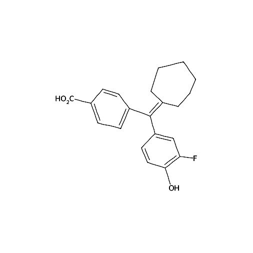 O=C(O)c1ccc(C(=C2CCCCCC2)c2ccc(O)c(F)c2)cc1